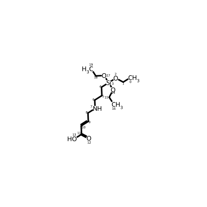 CCO[Si](CCCNCC=CC(=O)O)(OCC)OCC